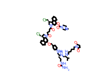 CC(C)[C@@H](CN[C@@H](CCCNC(N)=O)CNc1ccc(COc2cc3c(c4ccccc24)[C@H](CCl)CN3C(=O)CCCC(=O)N2C[C@@H](CCl)c3c2cc(OC(=O)N2CCN(C)CC2)c2ccccc32)cc1)NCCCCCCN1C(=O)C=CC1=O